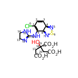 Clc1ccc2nsnc2c1NC1=NCCN1.O=C(O)CC(O)(CC(=O)O)C(=O)O